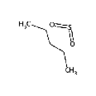 CCCCC.O=S=O